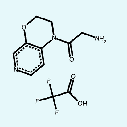 NCC(=O)N1CCOc2cnccc21.O=C(O)C(F)(F)F